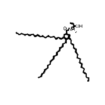 CCC(=O)O.CCCCCCCCCCCCCCCCCCc1cc(C(N)=O)cc(CCCCCCCCCCCCCCCCCC)c1CCCCCCCCCCCCCCCCCC